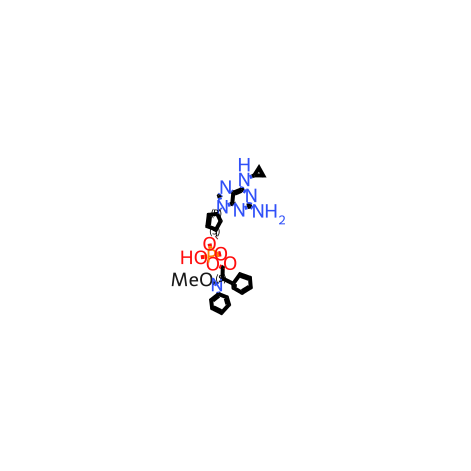 CON(c1ccccc1)[C@H](C(=O)OP(=O)(O)OC[C@@H]1C=C[C@H](n2cnc3c(NC4CC4)nc(N)nc32)C1)c1ccccc1